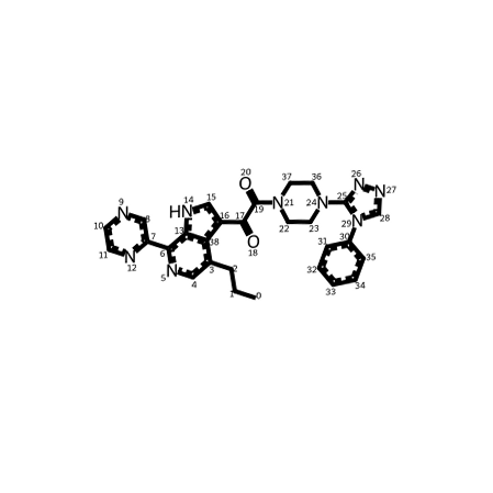 CCCc1cnc(-c2cnccn2)c2[nH]cc(C(=O)C(=O)N3CCN(c4nncn4-c4ccccc4)CC3)c12